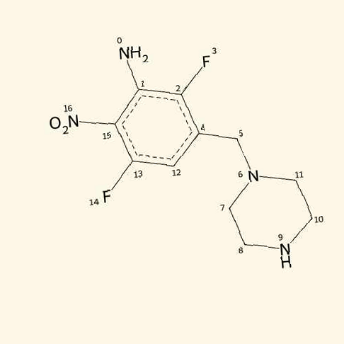 Nc1c(F)c(CN2CCNCC2)cc(F)c1[N+](=O)[O-]